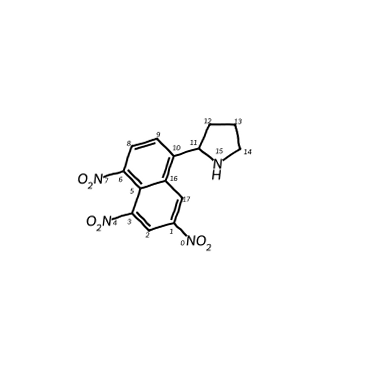 O=[N+]([O-])c1cc([N+](=O)[O-])c2c([N+](=O)[O-])ccc(C3CCCN3)c2c1